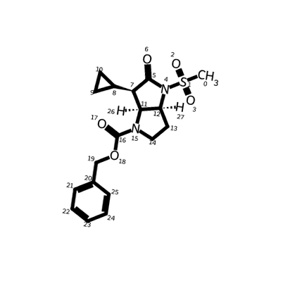 CS(=O)(=O)N1C(=O)[C@H](C2CC2)[C@H]2[C@@H]1CCN2C(=O)OCc1ccccc1